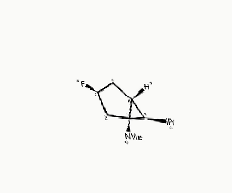 CN[C@@]12C[C@@H](F)C[C@@H]1[C@H]2C(C)C